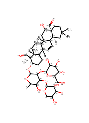 CC1OC(O[C@H]2CC[C@]3(C)[C@H]4C=CC5[C@@H]6CC(C)(C)CC[C@]6(C=O)[C@H](O)C[C@@]5(C)[C@]4(C)CC[C@H]3[C@]2(C)C=O)C(OC2OC(CO)C(O)C(O)C2O)C(OC2OCC(O)C(O)C2O)C1O